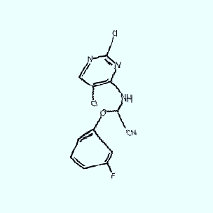 N#CC(Nc1nc(Cl)ncc1Cl)Oc1cccc(F)c1